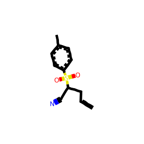 C=CCC(C#N)S(=O)(=O)c1ccc(C)cc1